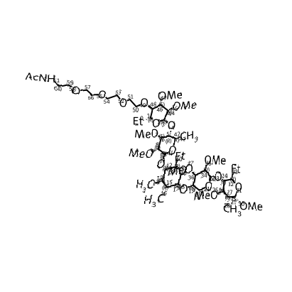 CC[C@H]1O[C@H](O[C@H]2[C@H](OC)[C@@H](OC)[C@H](O[C@H]3[C@H](C)[C@@H](C)[C@@H](O[C@@H]4CO[C@@H](O[C@H]5[C@H](OC)[C@@H](C)[C@@H](OC)O[C@@H]5CC)[C@H](OC)C4OC)O[C@@H]3CC)O[C@@H]2C)[C@H](OC)[C@@H](OC)C1OCCOCCOCCOCCNC(C)=O